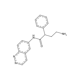 NCCC(C(=O)Nc1ccc2nnccc2c1)c1ccccc1